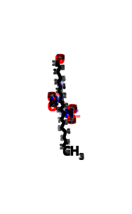 CCCCCCCC/C(=C/C/C(=C/C/C=C/CCC[C]=O)[N+](=O)[O-])[N+](=O)[O-]